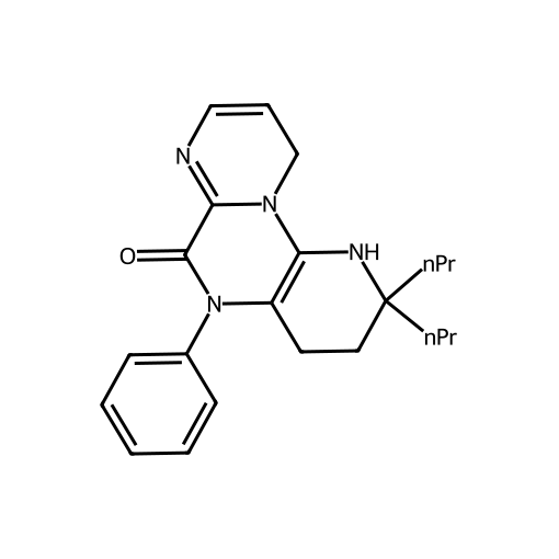 CCCC1(CCC)CCC2=C(N1)N1CC=CN=C1C(=O)N2c1ccccc1